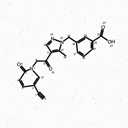 C#Cc1ccc(=O)n(CC(=O)c2cnn(Cc3cccc(C(=O)O)c3)c2C)c1